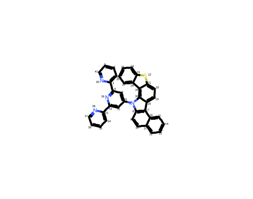 c1ccc(-c2cc(-n3c4ccc5ccccc5c4c4ccc5sc6ccccc6c5c43)cc(-c3ccccn3)n2)nc1